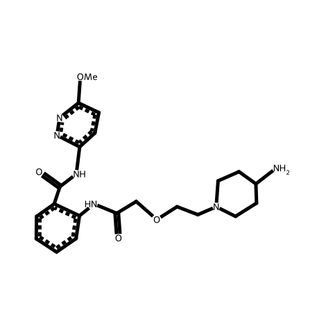 COc1ccc(NC(=O)c2ccccc2NC(=O)COCCN2CCC(N)CC2)nn1